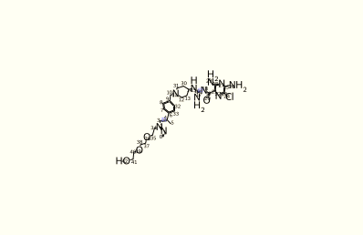 C=NN(/C=C(\C)c1ccc(CN2CCC(N/C(N)=N/C(=O)c3nc(Cl)c(N)nc3N)CC2)cc1)CCOCCOCCO